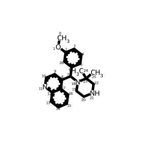 COc1cccc(C(c2ccnc3ccccc23)N2CCNCC2(C)C)c1